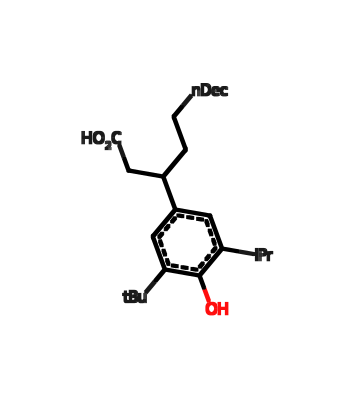 CCCCCCCCCCCCC(CC(=O)O)c1cc(C(C)C)c(O)c(C(C)(C)C)c1